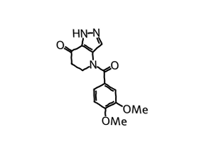 COc1ccc(C(=O)N2CCC(=O)c3[nH]ncc32)cc1OC